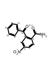 NC(=O)c1ccc([N+](=O)[O-])cc1C(=O)c1ccccc1